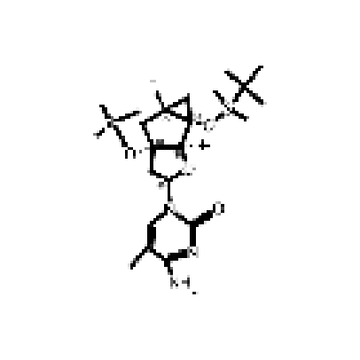 Cc1cn([C@H]2C[C@@]3(O[Si](C)(C)C)C[C@]4(F)C[C@]4(O[Si](C)(C)C(C)(C)C)[C@H]3O2)c(=O)nc1N